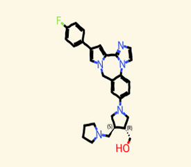 OC[C@H]1CN(c2ccc3c(c2)Cn2cc(-c4ccc(F)cc4)cc2-c2nccn2-3)C[C@@H]1CN1CCCC1